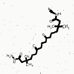 CC(C)(CCCC(=O)CCCC(=O)CCCC(C)(C)CC(=O)NC#N)CC(=O)NN